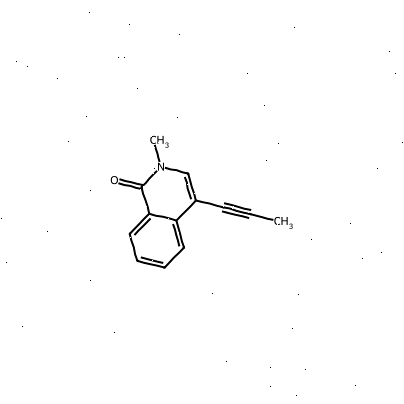 CC#Cc1cn(C)c(=O)c2ccccc12